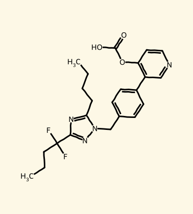 CCCCc1nc(C(F)(F)CCC)nn1Cc1ccc(-c2cnccc2OC(=O)O)cc1